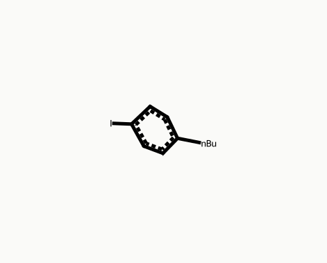 CCCCc1[c]cc(I)cc1